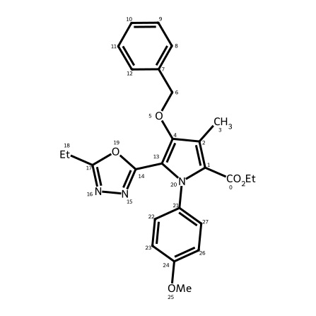 CCOC(=O)c1c(C)c(OCc2ccccc2)c(-c2nnc(CC)o2)n1-c1ccc(OC)cc1